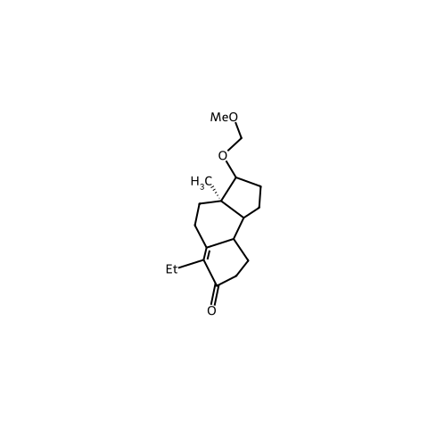 CCC1=C2CC[C@@]3(C)C(OCOC)CCC3C2CCC1=O